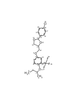 CCC(C)Oc1ccc(OCC2COC(c3ccc(Cl)cc3)O2)cc1C(F)(F)F